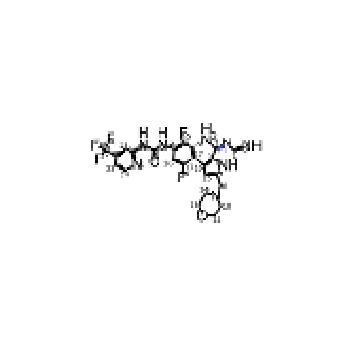 N=C/N=C(/N)c1[nH]c(CN2CCOCC2)cc1-c1cc(F)c(NC(=O)Nc2cc(C(F)(F)F)ccn2)cc1F